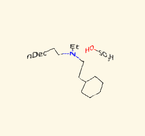 CCCCCCCCCCCCN(CC)CCC1CCCCC1.O=S(=O)(O)O